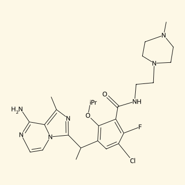 Cc1nc(C(C)c2cc(Cl)c(F)c(C(=O)NCCN3CCN(C)CC3)c2OC(C)C)n2ccnc(N)c12